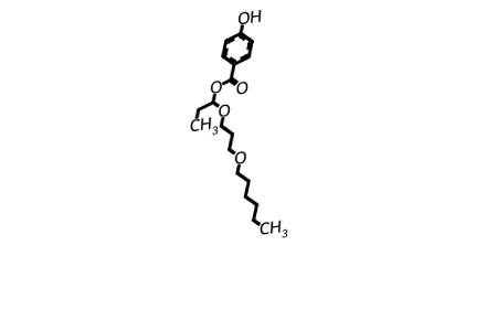 CCCCCCOCCCOC(CC)OC(=O)c1ccc(O)cc1